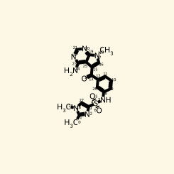 Cc1nc(S(=O)(=O)Nc2cccc(C(=O)c3cn(C)c4ncnc(N)c34)c2)cn1C